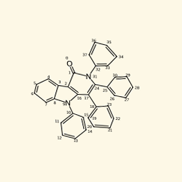 O=c1c2c3ccccc3n(-c3ccccc3)c2c(-c2ccccc2)c(-c2ccccc2)n1-c1ccccc1